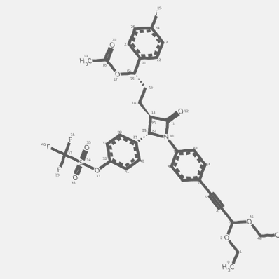 CCOC(C#Cc1ccc(N2C(=O)[C@H](CC[C@H](OC(C)=O)c3ccc(F)cc3)[C@H]2c2ccc(OS(=O)(=O)C(F)(F)F)cc2)cc1)OCC